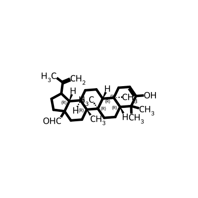 C=C(C)C1CCC2(C=O)CC[C@]3(C)[C@H](CC[C@@H]4[C@@]5(C)CC=C(O)C(C)(C)[C@@H]5CC[C@]43C)[C@@H]12